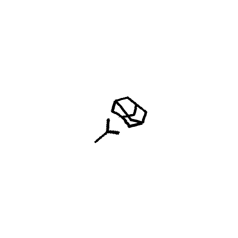 C1[C]2CC3CC1CC(C2)C3.C[C](C)C